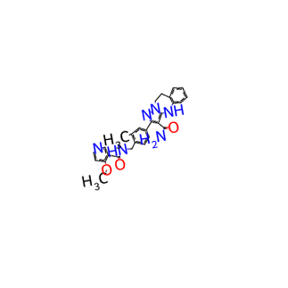 COc1ccncc1C(=O)NCc1ccc(-c2nn3c(c2C(N)=O)Nc2ccccc2CC3)cc1C